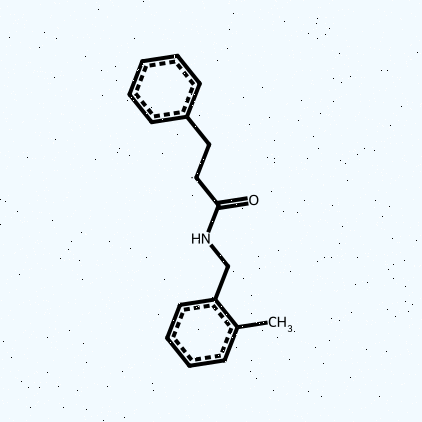 Cc1ccccc1CNC(=O)[CH]Cc1ccccc1